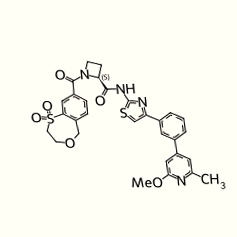 COc1cc(-c2cccc(-c3csc(NC(=O)[C@@H]4CCN4C(=O)c4ccc5c(c4)S(=O)(=O)CCOC5)n3)c2)cc(C)n1